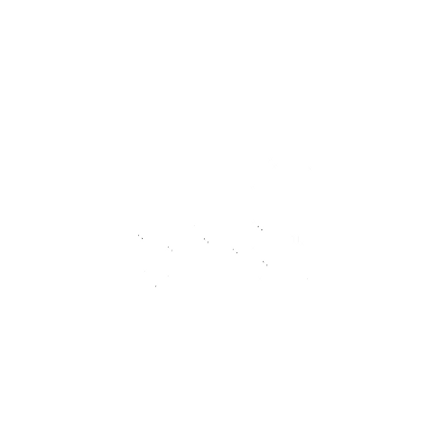 Cc1cc(-c2cc(N3CCN(c4ncccc4C(F)(F)F)C[C@H]3C)nc(N(C)C(C)C)n2)ccc1F